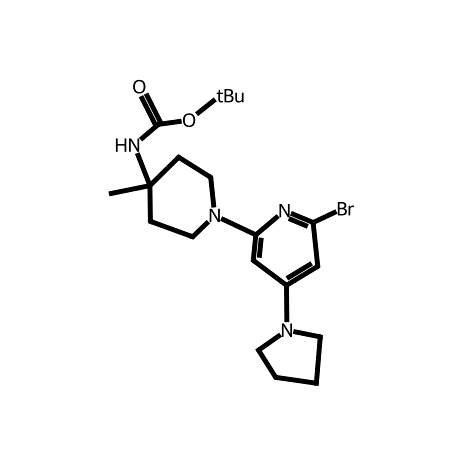 CC1(NC(=O)OC(C)(C)C)CCN(c2cc(N3CCCC3)cc(Br)n2)CC1